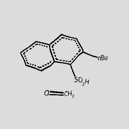 C=O.CCCCc1ccc2ccccc2c1S(=O)(=O)O